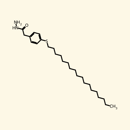 CCCCCCCCCCCCCCCCCCSc1ccc(CC(=O)NN)cc1